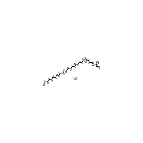 C=CC(=O)OCCC[N+](C)(C)CCCCCCCCCCCCCCCCCCCCCC.[Br-]